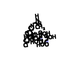 Cc1nc[nH]c1CN1CCC2(CC1)CO[C@H]1c3ccc(Cl)cc3OC(C)(C)[C@@H]1C2.O=C(O)/C=C/C(=O)O.O=C(O)/C=C/C(=O)O